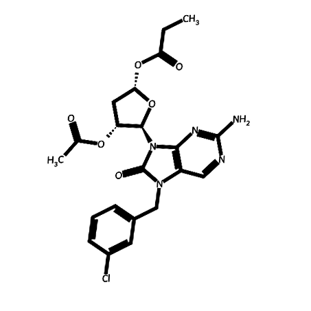 CCC(=O)O[C@H]1C[C@@H](OC(C)=O)[C@H](n2c(=O)n(Cc3cccc(Cl)c3)c3cnc(N)nc32)O1